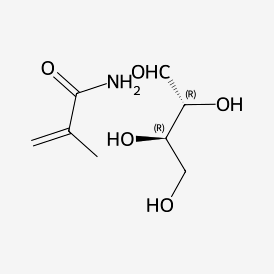 C=C(C)C(N)=O.O=C[C@H](O)[C@H](O)CO